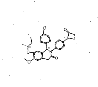 CC[C@@H](C)Oc1cc2c(cc1OC)CC(=O)N(c1ccc(N3CCC3=O)cc1)[C@@H]2c1ccc(Cl)cc1